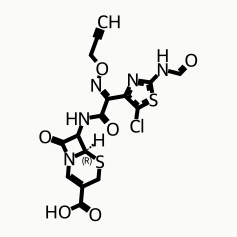 C#CCON=C(C(=O)NC1C(=O)N2C=C(C(=O)O)CS[C@H]12)c1nc(NC=O)sc1Cl